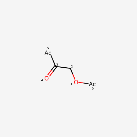 CC(=O)OCC(=O)C(C)=O